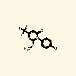 CSc1nc(C(F)(F)F)cc(=O)n1-c1ccc(Cl)cc1